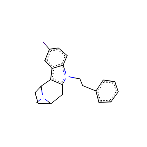 CN1C2CCC1c1c(n(CCc3ccccc3)c3ccc(I)cc13)C2